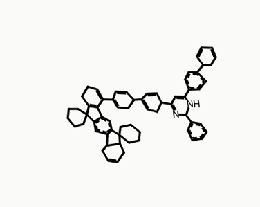 C1=CCC(c2ccc(C3=CC(C4C=CC(C5C=CC(C6=CCCC7=C6c6cc8c(cc6C76CCCCC6)C6CC=CCC6C86CCCCC6)=CC5)=CC4)=NC(c4ccccc4)N3)cc2)C=C1